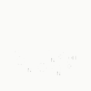 CCCCCCCCCOc1ccc(CN2CCc3cc(-c4c(C)nc(C)c([C@H](OC(C)(C)C)C(=O)O)c4N4CCC(C)(C)CC4)ccc3C2)cc1